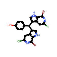 Oc1ccc(C(c2c[nH]c3c(Br)nc(Cl)cc23)c2c[nH]c3c(Br)nc(Cl)cc23)cc1